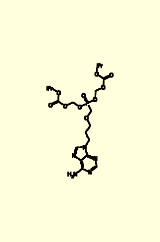 CC(C)OC(=O)OCOP(=O)(COCCCn1cnc2c(N)ncnc21)OCOC(=O)OC(C)C